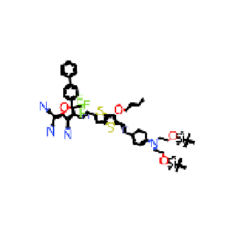 CCCCOc1c(/C=C/C2=CC=C(N(CCO[Si](C)(C)C(C)(C)C)CCO[Si](C)(C)C(C)(C)C)CC2)sc2cc(/C=C/C3=C(C#N)C(=C(C#N)C#N)OC3(c3ccc(-c4ccccc4)cc3)C(F)(F)F)sc12